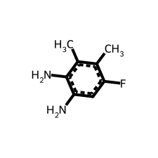 Cc1c(F)cc(N)c(N)c1C